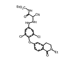 CCOC(=O)NC(=O)C(C#N)NNc1cc(Cl)c(Oc2ccc3c(c2)CCN(CC)C3=O)c(Cl)c1